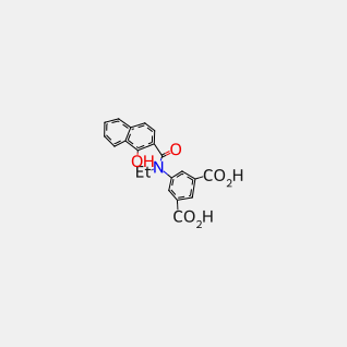 CCN(C(=O)c1ccc2ccccc2c1O)c1cc(C(=O)O)cc(C(=O)O)c1